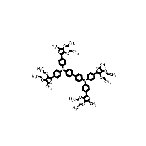 CCOc1c(C)sc(-c2ccc(N(c3ccc(-c4ccc(N(c5ccc(-c6sc(C)c(OCC)c6OCC)cc5)c5ccc(-c6sc(C)c(OCC)c6OCC)cc5)cc4)cc3)c3ccc(-c4sc(C)c(OCC)c4OCC)cc3)cc2)c1OCC